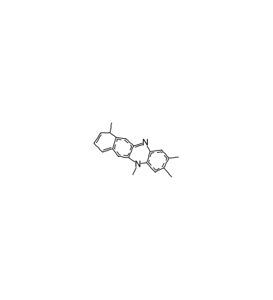 Cc1cc2c(cc1C)N(C)c1cc3c(cc1=N2)C(C)C=CC=3